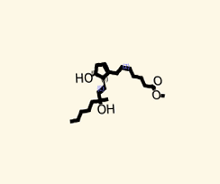 CCCCCC(C)(O)/C=C/[C@@H]1C(C/C=C\CCCC(=O)OC)=CC[C@H]1O